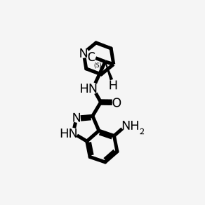 Nc1cccc2[nH]nc(C(=O)N[C@@H]3CN4CCC3CC4)c12